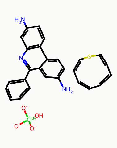 Nc1ccc2c(c1)nc(-c1ccccc1)c1cc(N)ccc12.[O-][Cl+3]([O-])([O-])O.c1ccccsccc1